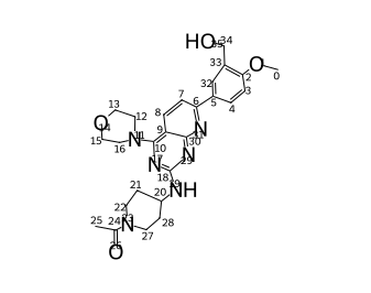 COc1ccc(-c2ccc3c(N4CCOCC4)nc(NC4CCN(C(C)=O)CC4)nc3n2)cc1CO